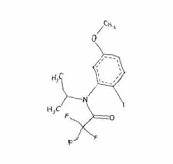 COc1ccc(I)c(N(C(=O)C(F)(F)F)C(C)C)c1